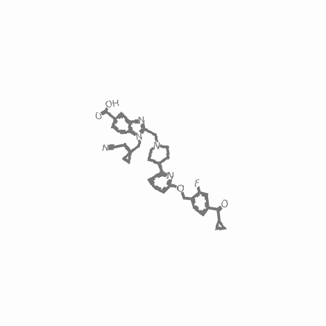 N#CCC1(Cn2c(CN3CCC(c4cccc(OCc5ccc(C(=O)C6CC6)cc5F)n4)CC3)nc3cc(C(=O)O)ccc32)CC1